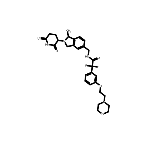 C=C1CCC(N2Cc3cc(CNC(=O)C(F)(F)c4cccc(OCCN5CCOCC5)c4)ccc3C2C)C(=O)N1